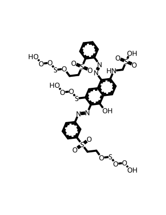 O=S(=O)(O)CNc1ccc2c(O)c(/N=N/c3cccc(S(=O)(=O)CCOSOOO)c3)c(SOOO)cc2c1/N=N/c1ccccc1S(=O)(=O)CCOSOOO